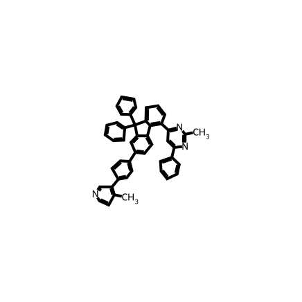 Cc1nc(-c2ccccc2)cc(-c2cccc3c2-c2ccc(-c4ccc(-c5cnccc5C)cc4)cc2C3(c2ccccc2)c2ccccc2)n1